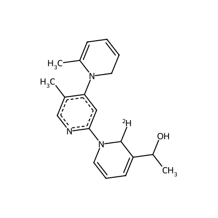 [2H]C1C(C(C)O)=CC=CN1c1cc(N2CC=CC=C2C)c(C)cn1